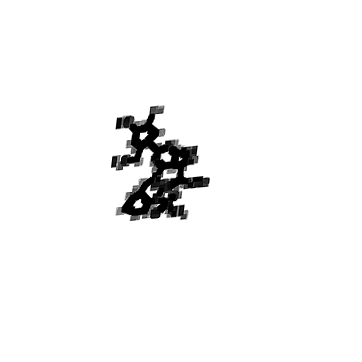 CNC(=O)c1n[nH]c2nc(-c3cc(F)c(O)cc3CC(F)(F)F)nc(NCc3ccccc3N(C)S(N)(=O)=O)c12